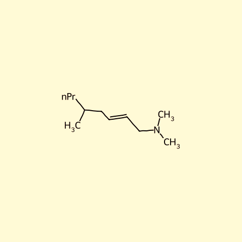 CCCC(C)CC=CCN(C)C